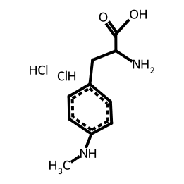 CNc1ccc(CC(N)C(=O)O)cc1.Cl.Cl